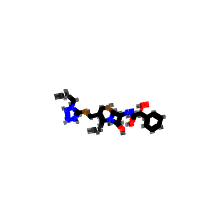 O=C(O)C1=C(CSc2nnnn2CS(=O)(=O)O)CSC2C(NC(=O)[C@H](O)c3ccccc3)C(=O)N12